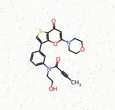 CC#CC(=O)N(CCO)c1cccc(-c2csc3c(=O)cc(N4CCOCC4)oc23)c1